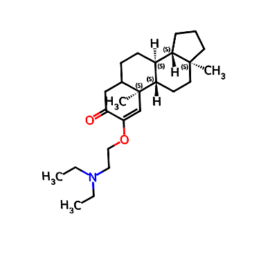 CCN(CC)CCOC1=C[C@@]2(C)C(CC[C@H]3[C@@H]4CCC[C@@]4(C)CC[C@@H]32)CC1=O